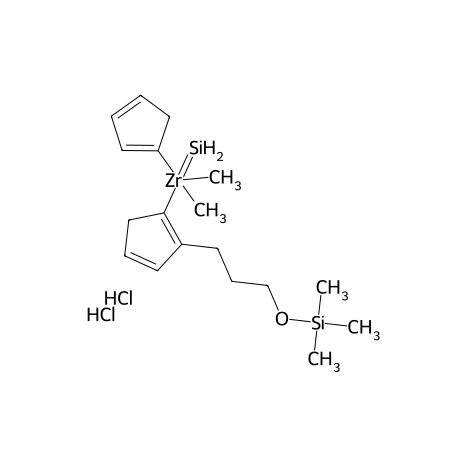 C[Si](C)(C)OCCCC1=[C]([Zr]([CH3])([CH3])(=[SiH2])[C]2=CC=CC2)CC=C1.Cl.Cl